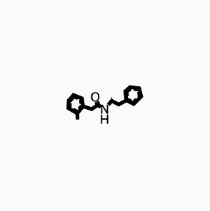 Cc1ccccc1CC(=O)N[CH]Cc1ccccc1